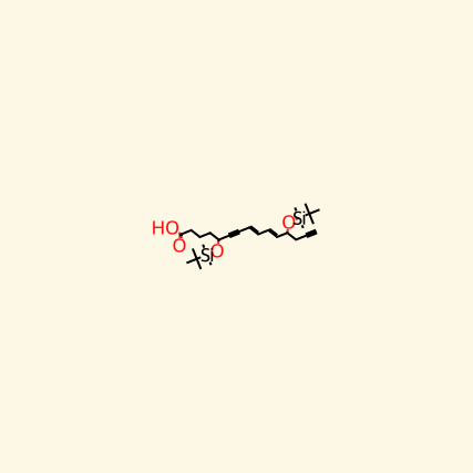 C#CCC(/C=C/C=C/C#CC(CCCC(=O)O)O[Si](C)(C)C(C)(C)C)O[Si](C)(C)C(C)(C)C